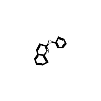 [c]1ccccc1Oc1ccc2ccccc2n1